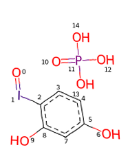 O=Ic1ccc(O)cc1O.O=P(O)(O)O